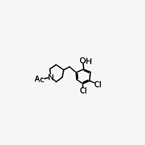 CC(=O)N1CCC(Cc2cc(Cl)c(Cl)cc2O)CC1